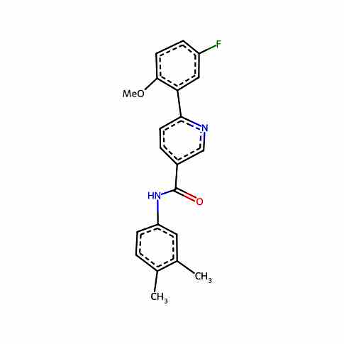 COc1ccc(F)cc1-c1ccc(C(=O)Nc2ccc(C)c(C)c2)cn1